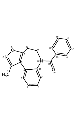 Cc1noc2c1-c1ccccc1N(C(=O)c1ccccc1)CC2